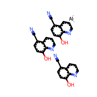 N#Cc1ccc(O)c2ncccc12.N#Cc1ccc(O)c2ncccc12.N#Cc1ccc(O)c2ncccc12.[Al]